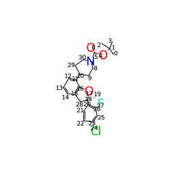 CC(C)(C)OC(=O)N1CCC(c2cccc3c2O[C@@](C)(c2ccc(Cl)cc2F)C3)CC1